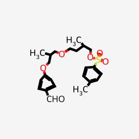 Cc1ccc(S(=O)(=O)OCC(C)CCOCC(C)COc2ccc(C=O)cc2)cc1